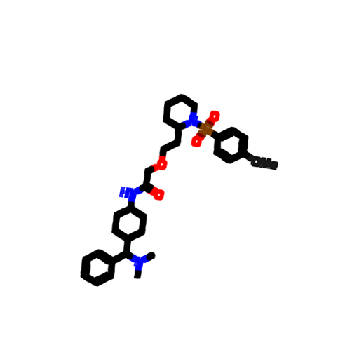 COc1ccc(S(=O)(=O)N2CCCCC2CCOCC(=O)NC2CCC(C(c3ccccc3)N(C)C)CC2)cc1